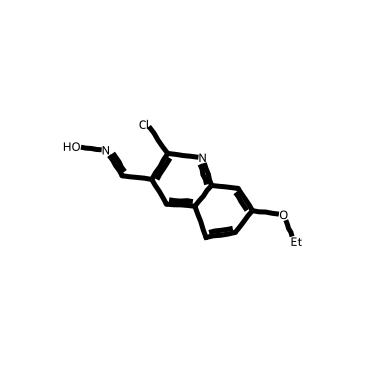 CCOc1ccc2cc(/C=N/O)c(Cl)nc2c1